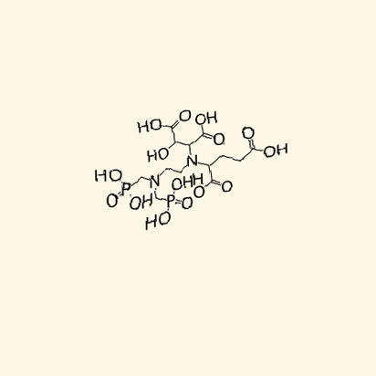 O=C(O)CCC(C(=O)O)N(CCN(CP(=O)(O)O)CP(=O)(O)O)C(C(=O)O)C(O)C(=O)O